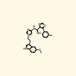 COc1ccc2[nH]cc(CCn3cnc(NC(=N)c4ncoc4-c4cccc(C)c4)c3)c2c1